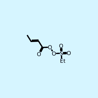 CC=CC(=O)OOS(=O)(=O)CC